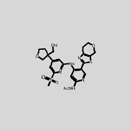 CC(=O)Nc1cc(Nc2cc(C3(CO)CCOC3)cc(S(C)(=O)=O)n2)c(-c2nc3c(s2)COCC3)cn1